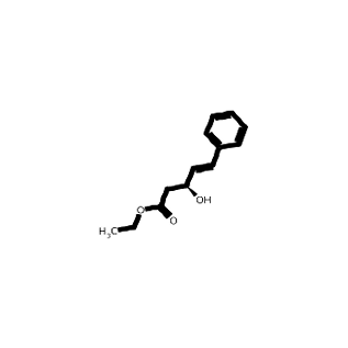 CCOC(=O)C[C@H](O)/C=C/c1ccccc1